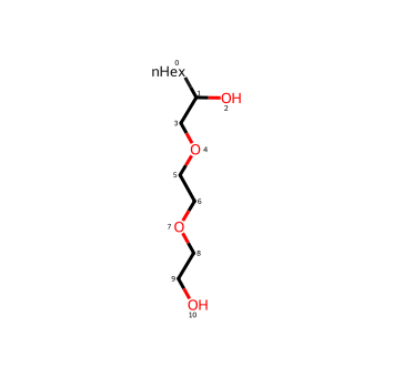 CCCCCCC(O)COCCOCCO